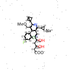 COCc1c(C23CC(C2)C3)nc(C2CC2)c(/C=C/[C@@H](O)C[C@@H](O)CC(=O)[O-])c1-c1ccc(F)cc1Cl.[Na+]